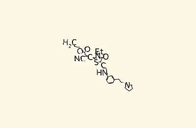 C=CCOC(=O)C(=C=c1sc(=C=CNc2cccc(CCCN3CCCC3)c2)c(=O)n1CC)C#N